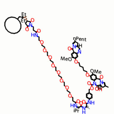 CCCCCC1=CN2C(=O)c3cc(OC)c(OCCCCCOc4cc5c(cc4OC)C(=O)N4C=C(C)C[C@H]4[C@H](O)N5C(=O)OCc4ccc(NC(=O)[C@H](C)NC(=O)[C@@H](NC(=O)CCOCCOCCOCCOCCOCCOCCOCCOCCNC(=O)CCN5C(=O)CC(SC(CC)(CC)CC6CCCCCCCCCCCCCCC6)C5=O)C(C)C)cc4)cc3N=C[C@@H]2C1